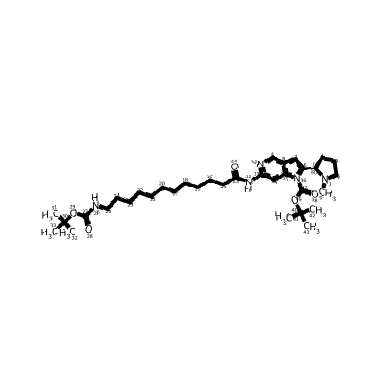 CN1CCC[C@@H]1c1cc2cnc(NC(=O)CCCCCCCCCCCNC(=O)OC(C)(C)C)cc2n1C(=O)OC(C)(C)C